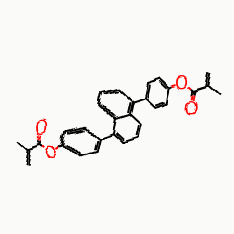 C=C(C)C(=O)Oc1ccc(-c2cccc3c(-c4ccc(OC(=O)C(=C)C)cc4)cccc23)cc1